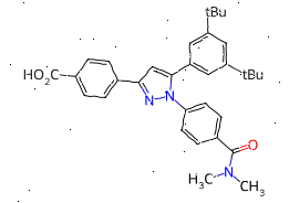 CN(C)C(=O)c1ccc(-n2nc(-c3ccc(C(=O)O)cc3)cc2-c2cc(C(C)(C)C)cc(C(C)(C)C)c2)cc1